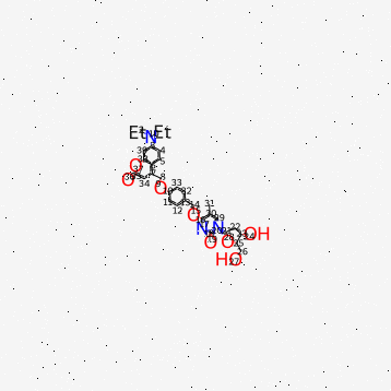 CCN(CC)c1ccc2c(COc3ccc(COc4nc(=O)n(C5CC(O)C(CO)O5)cc4C)cc3)cc(=O)oc2c1